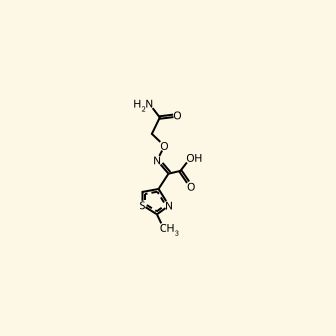 Cc1nc(/C(=N/OCC(N)=O)C(=O)O)cs1